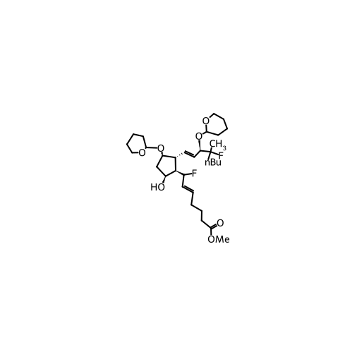 CCCCC(C)(F)[C@@H](C=C[C@@H]1[C@@H](C(F)C=CCCCC(=O)OC)[C@@H](O)C[C@H]1OC1CCCCO1)OC1CCCCO1